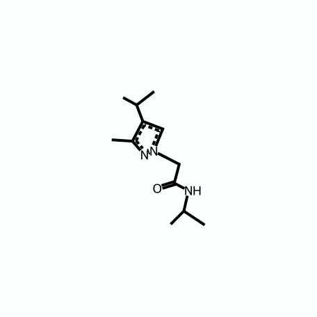 Cc1nn(CC(=O)NC(C)C)cc1C(C)C